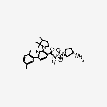 Cc1ccc(C)c(-c2ccc(C(=O)NS(=O)(=O)N3CC[C@H](N)C3)c(N3CCC(C)C3(C)C)n2)c1